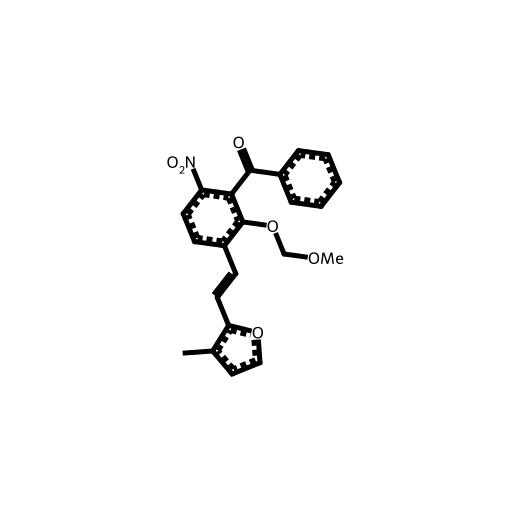 COCOc1c(C=Cc2occc2C)ccc([N+](=O)[O-])c1C(=O)c1ccccc1